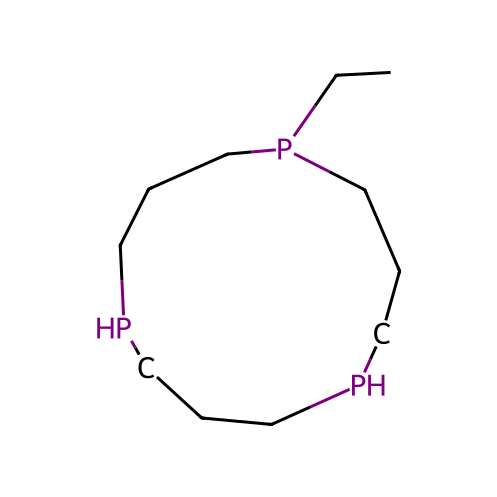 CCP1CCCPCCCPCCC1